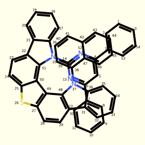 c1ccc(-c2cc(-c3ccccc3)nc(-n3c4ccccc4c4ccc5sc6ccc7c8ccccc8n(-c8cccc9ccccc89)c7c6c5c43)n2)cc1